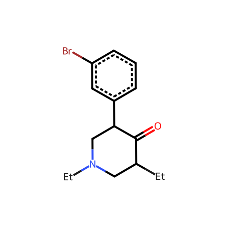 CCC1CN(CC)CC(c2cccc(Br)c2)C1=O